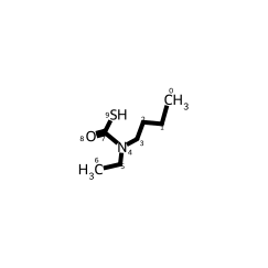 CCCCN(CC)C(=O)S